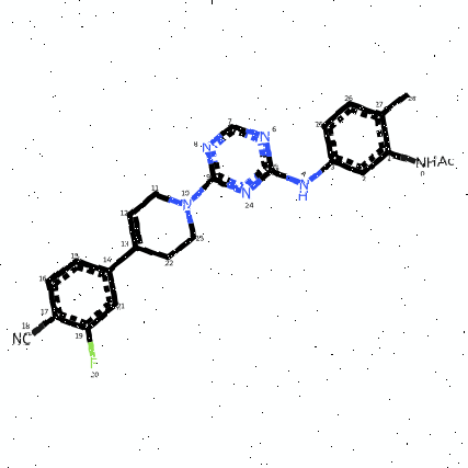 CC(=O)Nc1cc(Nc2ncnc(N3CC=C(c4ccc(C#N)c(F)c4)CC3)n2)ccc1C